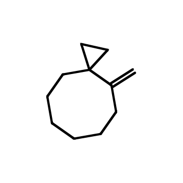 C=C1CCCCCCC12CC2